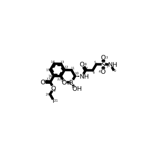 CNS(=O)(=O)CCC(=O)N[C@H]1Cc2cccc(C(=O)OCI)c2OB1O